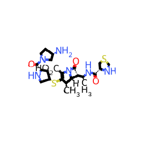 C[C@@H](NC(=O)[C@@H]1CSCN1)[C@H]1C(=O)N2C(C(=O)O)=C(S[C@@H]3CN[C@H](C(=O)N4CC[C@H](N)C4)C3)[C@H](C)[C@H]12